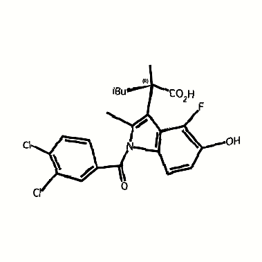 CCC(C)[C@@](C)(C(=O)O)c1c(C)n(C(=O)c2ccc(Cl)c(Cl)c2)c2ccc(O)c(F)c12